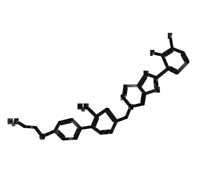 CCCOc1ccc(-c2ccc(Cn3cc4nc(-c5cccc(F)c5F)nc-4cn3)cc2N)cc1